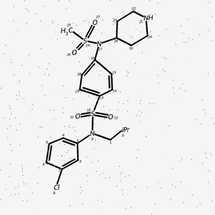 CC(C)CN(c1cccc(Cl)c1)S(=O)(=O)c1ccc(N(C2CCNCC2)S(C)(=O)=O)cc1